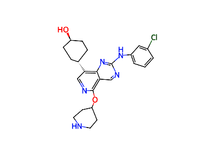 O[C@H]1CC[C@H](c2cnc(OC3CCNCC3)c3cnc(Nc4cccc(Cl)c4)nc32)CC1